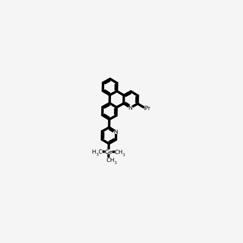 CC(C)c1ccc2c3ccccc3c3ccc(-c4cc[c]([Ge]([CH3])([CH3])[CH3])cn4)cc3c2n1